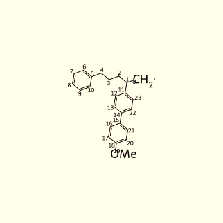 [CH2]C(CCCc1ccccc1)c1ccc(-c2ccc(OC)cc2)cc1